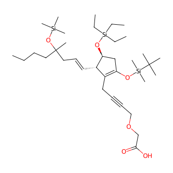 CCCCC(C)(C/C=C/[C@H]1C(CC#CCOCC(=O)O)=C(O[Si](C)(C)C(C)(C)C)C[C@@H]1O[Si](CC)(CC)CC)O[Si](C)(C)C